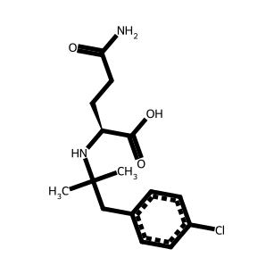 CC(C)(Cc1ccc(Cl)cc1)N[C@@H](CCC(N)=O)C(=O)O